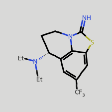 CCN(CC)[C@@H]1CCn2c(=N)sc3cc(C(F)(F)F)cc1c32